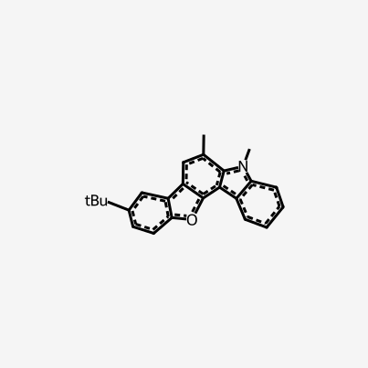 Cc1cc2c3cc(C(C)(C)C)ccc3oc2c2c3ccccc3n(C)c12